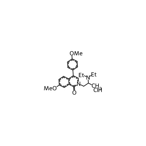 CCN(CC)C(C)Cn1cc(-c2ccc(OC)cc2)c2ccc(OC)cc2c1=O.Cl